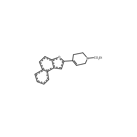 CCOC(=O)N1CC=C(c2cc3c(ccc4ccccc43)o2)CC1